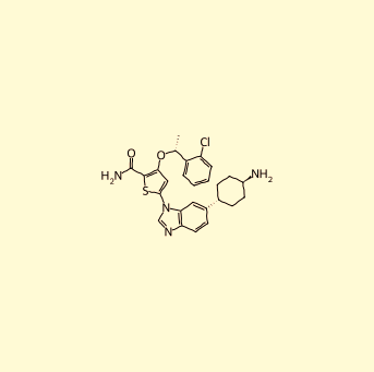 C[C@@H](Oc1cc(-n2cnc3ccc([C@H]4CC[C@H](N)CC4)cc32)sc1C(N)=O)c1ccccc1Cl